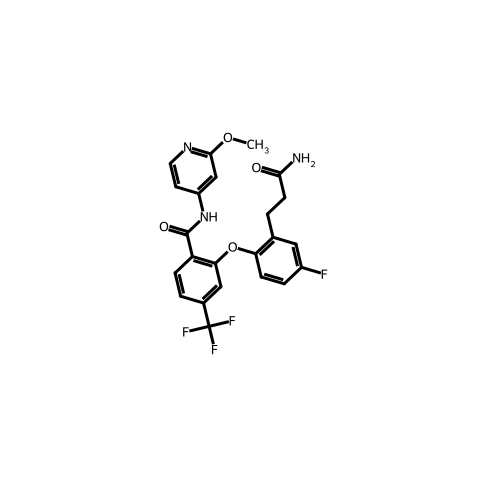 COc1cc(NC(=O)c2ccc(C(F)(F)F)cc2Oc2ccc(F)cc2CCC(N)=O)ccn1